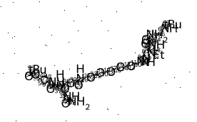 CCC(C)(C)N[C@@H](Cc1cn(CCOCCOCCOCCOCCOCCNC(=O)COCC(=O)N[C@@H](CCCNC(N)=O)C(=O)Nc2ccc(COC(=O)C(C)(C)C)cc2)nn1)C(=O)N[C@@H](CCCCNC(C)(C)C)C(N)=O